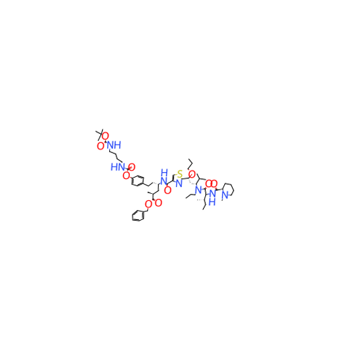 CCCO[C@H](C[C@H](C(C)C)N(CCC)C(=O)[C@@H](NC(=O)[C@H]1CCCCN1C)[C@@H](C)CC)c1nc(C(=O)N[C@@H](CCc2ccc(OC(=O)NCCCCNC(=O)OC(C)(C)C)cc2)C[C@H](C)C(=O)OCc2ccccc2)cs1